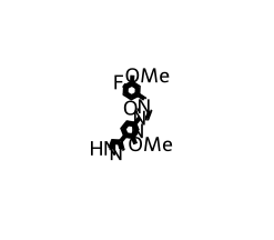 COc1cc(CN2CCN(c3ccc(-c4cn[nH]c4)c(OC)n3)C2=O)ccc1F